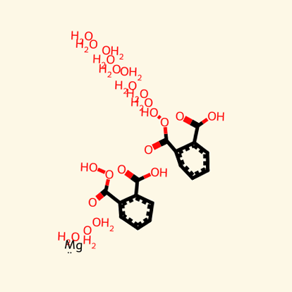 O.O.O.O.O.O.O.O.O.O.O.O.O=C(O)c1ccccc1C(=O)OO.O=C(O)c1ccccc1C(=O)OO.[Mg]